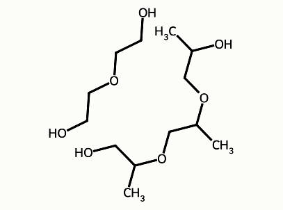 CC(O)COC(C)COC(C)CO.OCCOCCO